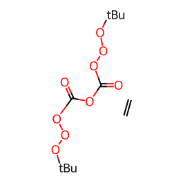 C=C.CC(C)(C)OOOC(=O)OC(=O)OOOC(C)(C)C